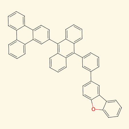 c1cc(-c2ccc3oc4ccccc4c3c2)cc(-c2c3ccccc3c(-c3ccc4c5ccccc5c5ccccc5c4c3)c3ccccc23)c1